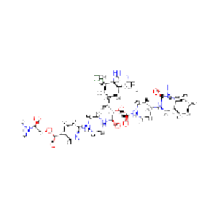 CN(C)C(=O)COC(=O)c1ccc(N2CCN(C(=O)[C@@H](Cc3cc(Cl)c(N)c(C(F)(F)F)c3)OC(=O)N3CCC(N4Cc5ccccc5NC4=O)CC3)CC2)nc1